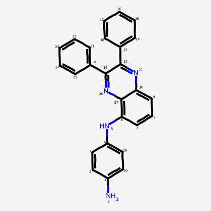 Nc1ccc(Nc2cccc3nc(-c4ccccc4)c(-c4ccccc4)nc23)cc1